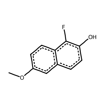 COc1ccc2c(F)c(O)ccc2c1